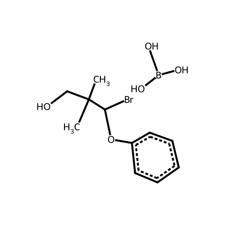 CC(C)(CO)C(Br)Oc1ccccc1.OB(O)O